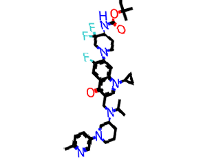 Cc1ccc(N2CCC[C@H](N(Cc3cn(C4CC4)c4cc(N5CC[C@@H](NC(=O)OC(C)(C)C)C(F)(F)C5)c(F)cc4c3=O)C(C)C)C2)cn1